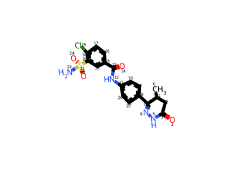 CC1CC(=O)NN=C1c1ccc(NC(=O)c2ccc(Cl)c(S(N)(=O)=O)c2)cc1